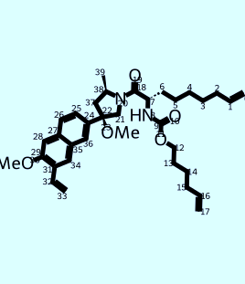 C=CCCCCC[C@H](NC(=O)OCCCCC=C)C(=O)N1C[C@](OC)(c2ccc3cc(OC)c(C=C)cc3c2)C[C@H]1C